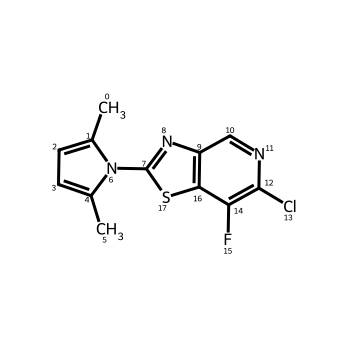 Cc1ccc(C)n1-c1nc2cnc(Cl)c(F)c2s1